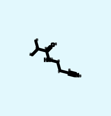 CC(C)C(=O)NCCC#N